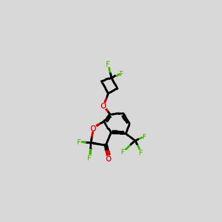 O=C1c2c(C(F)(F)F)ccc(OC3CC(F)(F)C3)c2OC1(F)F